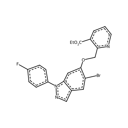 CCOC(=O)c1cccnc1COc1cc2c(cnn2-c2ccc(F)cc2)cc1Br